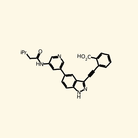 CC(C)CC(=O)Nc1cncc(-c2ccc3[nH]nc(C#Cc4ccccc4C(=O)O)c3c2)c1